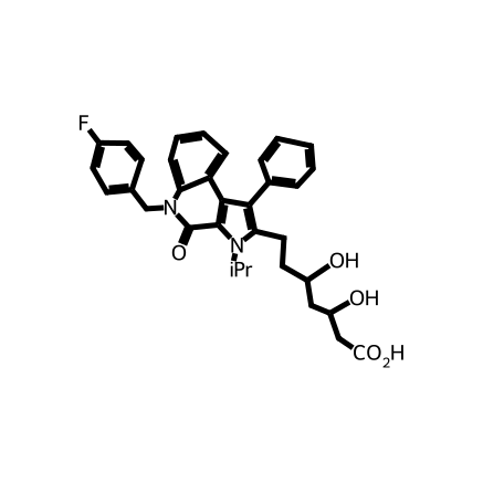 CC(C)n1c(CCC(O)CC(O)CC(=O)O)c(-c2ccccc2)c2c3ccccc3n(Cc3ccc(F)cc3)c(=O)c21